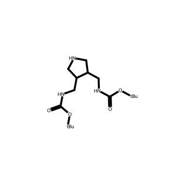 CC(C)(C)OC(=O)NCC1CNCC1CNC(=O)OC(C)(C)C